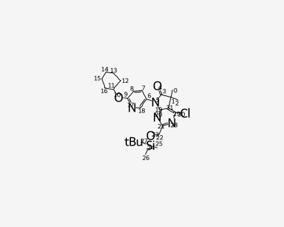 CC1(C)C(=O)N(c2ccc(OC3CCCCC3)nc2)c2nc(CO[Si](C)(C)C(C)(C)C)nc(Cl)c21